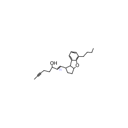 CC#CCCC(O)/C=C/C1CCC2Oc3c(CCCC)cccc3C12